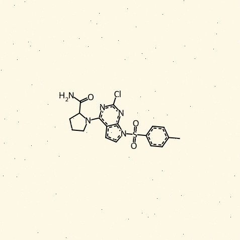 Cc1ccc(S(=O)(=O)n2ccc3c(N4CCCC4C(N)=O)nc(Cl)nc32)cc1